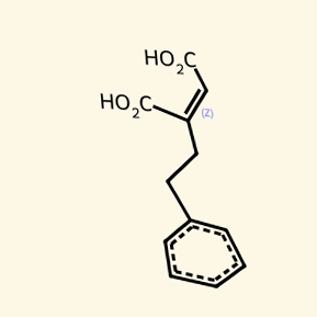 O=C(O)/C=C(/CCc1ccccc1)C(=O)O